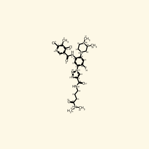 Cc1c(Cl)ncc(C(=O)Nc2cc(-n3cc(C(=O)NCCCC(=O)N(C)C)nn3)c(F)cc2N2CCN(C)[C@@H](C)C2)c1Cl